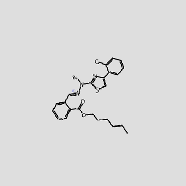 CCCCCCOC(=O)c1ccccc1/C=N/N(Br)c1nc(-c2ccccc2Cl)cs1